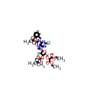 CCOC(=O)C(OC[C@H]1O[C@@H](n2cnc3c(N(Cc4ccccc4)C(=O)OC(C)(C)C)nc(Cl)nc32)[C@@H](F)[C@@H]1OC(=O)OC(C)(C)C)C(=O)OCC